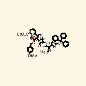 CCOC(=O)N1CC=CC(C2=C(C(=O)OCc3ccc(OC)cc3)N3C(=O)[C@@H](NC(=O)/C(=N\OC)c4csc(NC(c5ccccc5)(c5ccccc5)c5ccccc5)n4)[C@H]3SC2)N1C(=O)OCC